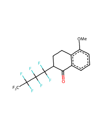 COc1cccc2c1CCC(C(F)(F)C(F)(F)C(F)(F)C(F)(F)F)C2=O